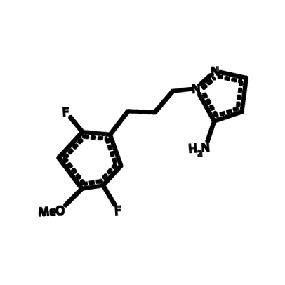 COc1cc(F)c(CCCn2nccc2N)cc1F